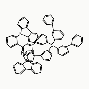 c1ccc(-c2cccc([Si](c3cccc(-c4ccccc4)c3)(c3cccc(-c4ccccc4)c3)c3cccc(-c4cc(-c5ccccc5-n5c6ccccc6c6ccccc65)nc(-n5c6ccccc6c6ccccc65)n4)c3)c2)cc1